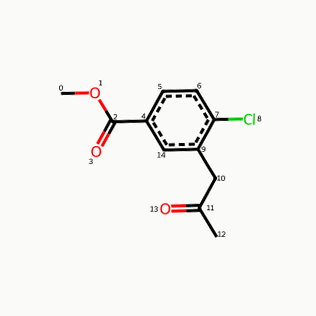 COC(=O)c1ccc(Cl)c(CC(C)=O)c1